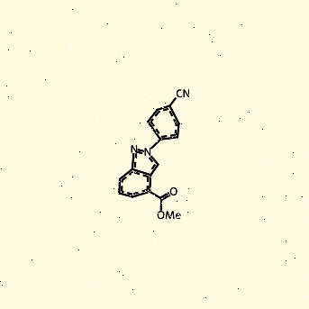 COC(=O)c1cccc2nn(-c3ccc(C#N)cc3)cc12